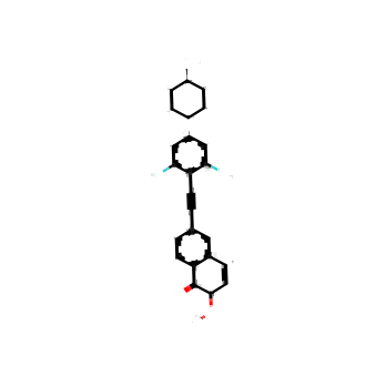 CCCC[C@H]1CC[C@H](c2cc(F)c(C#Cc3ccc4c(c3)C=CC(OC(F)(F)F)C4=O)c(F)c2)CC1